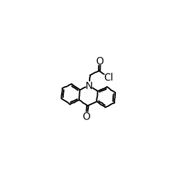 O=C(Cl)Cn1c2ccccc2c(=O)c2ccccc21